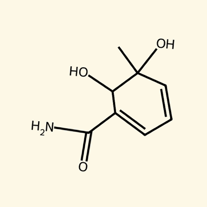 CC1(O)C=CC=C(C(N)=O)C1O